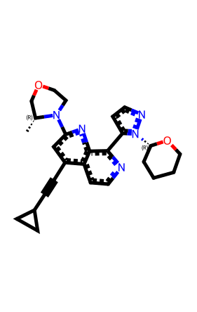 C[C@@H]1COCCN1c1cc(C#CC2CC2)c2ccnc(-c3ccnn3[C@H]3CCCCO3)c2n1